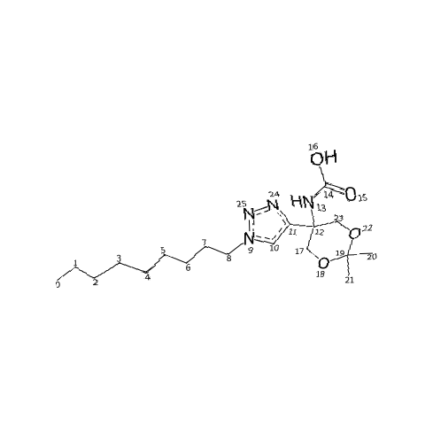 CCCCCCCCCn1cc(C2(NC(=O)O)COC(C)(C)OC2)nn1